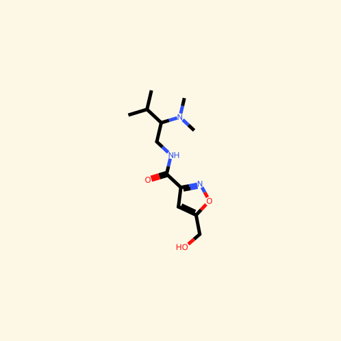 CC(C)C(CNC(=O)c1cc(CO)on1)N(C)C